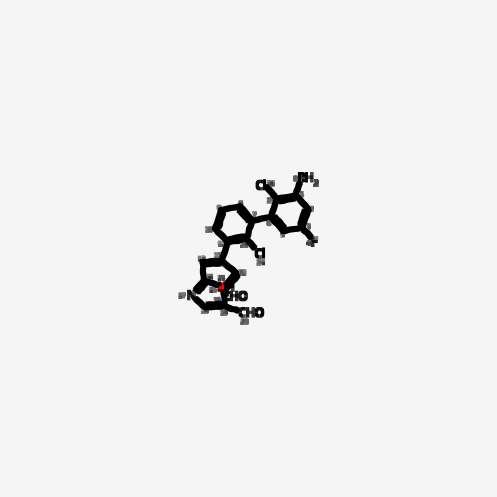 Bc1cc(F)cc(-c2cccc(C3=C/C(NC=O)=N/C=C(C=O)\C=C\3)c2Cl)c1Cl